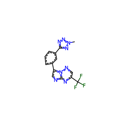 Cn1nnc(-c2cccc(-c3cnc4nc(C(F)(F)F)cnn34)c2)n1